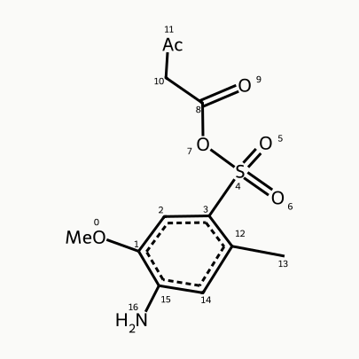 COc1cc(S(=O)(=O)OC(=O)CC(C)=O)c(C)cc1N